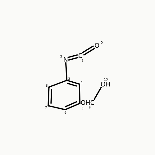 O=C=Nc1ccccc1.O=CO